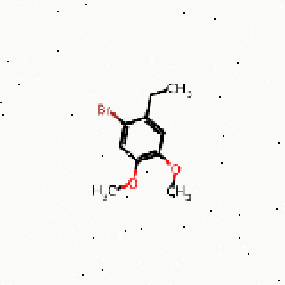 CCc1cc(OC)c(OC)cc1Br